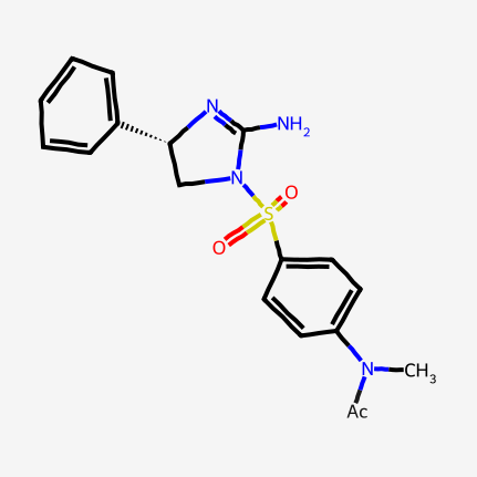 CC(=O)N(C)c1ccc(S(=O)(=O)N2C[C@H](c3ccccc3)N=C2N)cc1